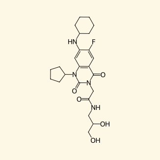 O=C(Cn1c(=O)c2cc(F)c(NC3CCCCC3)cc2n(C2CCCC2)c1=O)NCC(O)CO